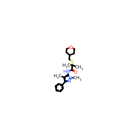 Cc1c(-c2ccccc2)nn(C)c1NC(=O)C(C)(C)SCC1CCOCC1